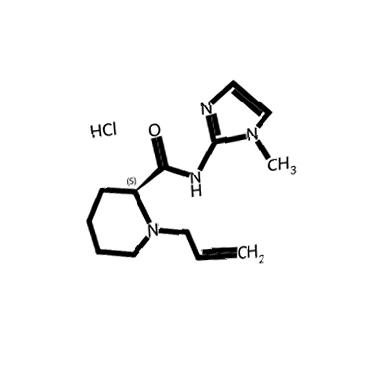 C=CCN1CCCC[C@H]1C(=O)Nc1nccn1C.Cl